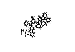 CC1(C)c2ccccc2-c2ccc(N(C3=CC(N(c4ccccc4)c4ccc5c(c4)C4(c6ccccc6-5)c5ccccc5C5C=CC=CC54)CC(Br)=C3)c3ccccc3)cc21